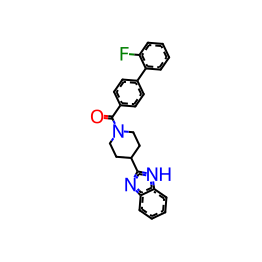 O=C(c1ccc(-c2ccccc2F)cc1)N1CCC(c2nc3ccccc3[nH]2)CC1